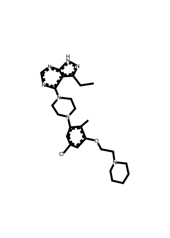 CCc1n[nH]c2ncnc(N3CCN(c4cc(Cl)cc(OCCN5CCCCC5)c4C)CC3)c12